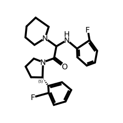 O=C(C(Nc1ccccc1F)N1CCCCC1)N1CCC[C@H]1c1ccccc1F